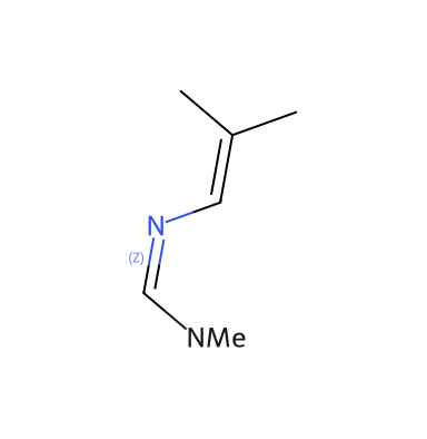 CN/C=N\C=C(C)C